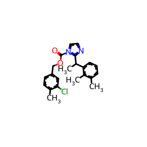 Cc1ccc(COC(=O)n2ccnc2C(C)c2cccc(C)c2C)cc1Cl